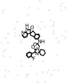 O=C(CN1C(=O)C(c2ccccc2F)=NC12CCCCC2)Nc1ccc2c(c1)CC1(C2)C(=O)Nc2ncccc21